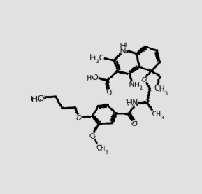 CCC1(OCC(C)NC(=O)c2ccc(OCCCO)c(OC)c2)C=CC=C2NC(C)=C(C(=O)O)C(N)=C21